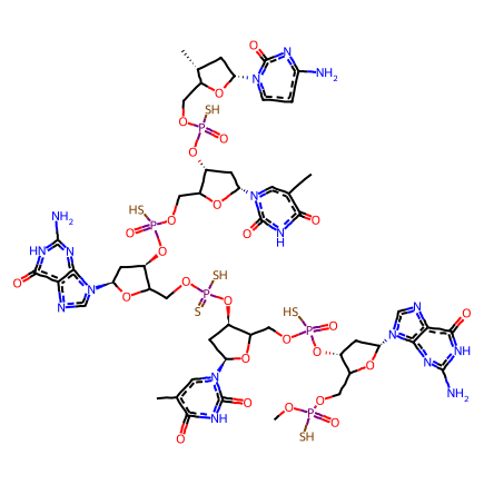 COP(=O)(S)OCC1O[C@@H](n2cnc3c(=O)[nH]c(N)nc32)C[C@H]1OP(=O)(S)OCC1O[C@@H](n2cc(C)c(=O)[nH]c2=O)C[C@H]1OP(=S)(S)OCC1O[C@@H](n2cnc3c(=O)[nH]c(N)nc32)C[C@H]1OP(=O)(S)OCC1O[C@@H](n2cc(C)c(=O)[nH]c2=O)C[C@H]1OP(=O)(S)OCC1O[C@@H](n2ccc(N)nc2=O)C[C@H]1C